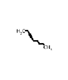 [CH2]CC#CCCCCC